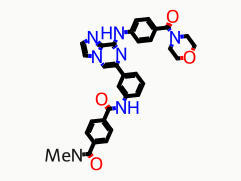 CNC(=O)c1ccc(C(=O)Nc2cccc(-c3cn4ccnc4c(Nc4ccc(C(=O)N5CCOCC5)cc4)n3)c2)cc1